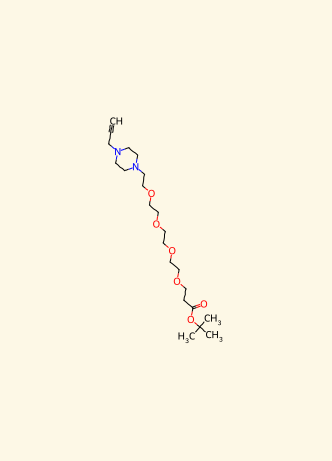 C#CCN1CCN(CCOCCOCCOCCOCCC(=O)OC(C)(C)C)CC1